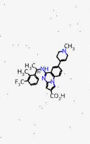 Cc1c([C@@H](C)Nc2nc3cc(C(=O)O)cn3c3ccc(C4=CCN(C)CC4)cc23)cccc1C(F)(F)F